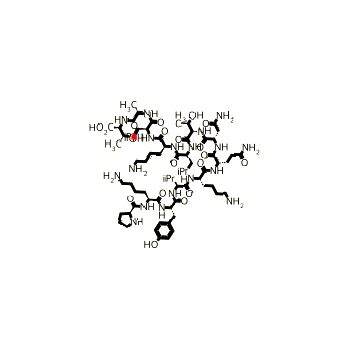 CC(C)C[C@H](NC(=O)[C@H](CCCCN)NC(=O)[C@H](CC(C)C)NC(=O)[C@@H](NC(=O)[C@H](CC(N)=O)NC(=O)[C@H](CCC(N)=O)NC(=O)[C@H](CCCCN)NC(=O)[C@@H](NC(=O)[C@H](Cc1ccc(O)cc1)NC(=O)[C@H](CCCCN)NC(=O)[C@@H]1CCCN1)C(C)C)[C@@H](C)O)C(=O)N[C@@H](C)C(=O)N[C@H](C(=O)O)[C@@H](C)O